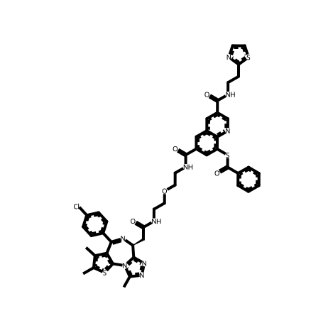 Cc1sc2c(c1C)C(c1ccc(Cl)cc1)=N[C@@H](CC(=O)NCCOCCNC(=O)c1cc(SC(=O)c3ccccc3)c3ncc(C(=O)NCCc4nccs4)cc3c1)c1nnc(C)n1-2